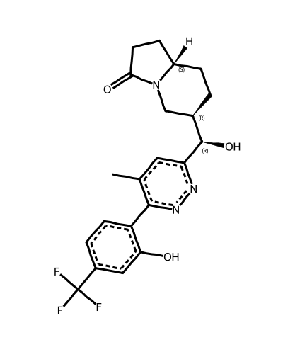 Cc1cc([C@H](O)[C@@H]2CC[C@H]3CCC(=O)N3C2)nnc1-c1ccc(C(F)(F)F)cc1O